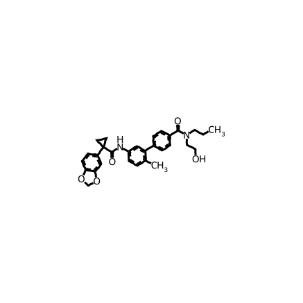 CCCN(CCO)C(=O)c1ccc(-c2cc(NC(=O)C3(c4ccc5c(c4)OCO5)CC3)ccc2C)cc1